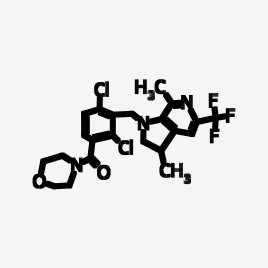 Cc1nc(C(F)(F)F)cc2c1N(Cc1c(Cl)ccc(C(=O)N3CCOCC3)c1Cl)CC2C